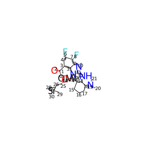 COC(=O)c1cc(F)c(F)c2nc(NC3CCCC[C@H]3N(C)C)n(COCC[Si](C)(C)C)c12